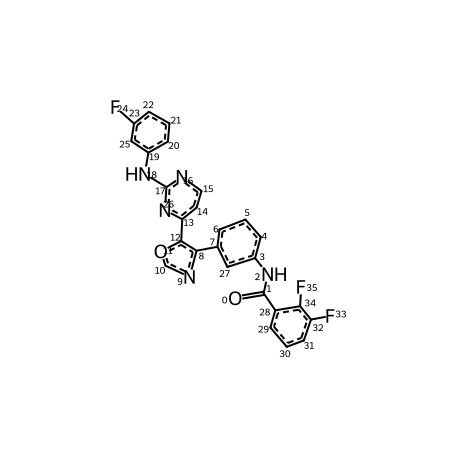 O=C(Nc1cccc(-c2ncoc2-c2ccnc(Nc3cccc(F)c3)n2)c1)c1cccc(F)c1F